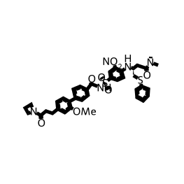 COc1cc(CCC(=O)N2CCC2)ccc1-c1ccc(C(=O)NS(=O)(=O)c2ccc(N[C@@H](CSc3ccccc3)CC(=O)N(C)C)c([N+](=O)[O-])c2)cc1